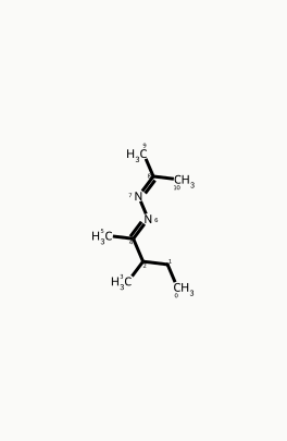 CCC(C)/C(C)=N/N=C(C)C